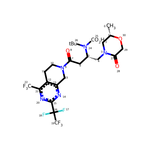 C[C@H]1CN(C[C@H](CC(=O)N2CCc3c(nc(C(F)(F)C(F)(F)F)nc3C(F)(F)F)C2)N(C(=O)O)C(C)(C)C)C(=O)CO1